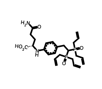 C=CCP(=O)(CC=C)C(Cc1ccc(N[C@@H](CCC(N)=O)C(=O)O)cc1)P(=O)(CC=C)CC=C